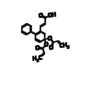 C=CC(=O)OC1(OC(=O)C=C)C=CC(c2ccccc2)=C(C=CC(=O)O)C1